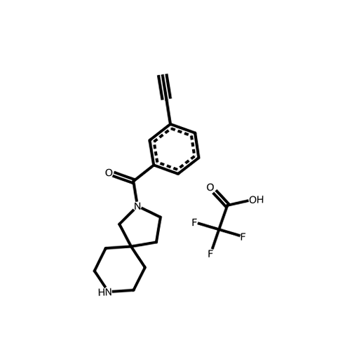 C#Cc1cccc(C(=O)N2CCC3(CCNCC3)C2)c1.O=C(O)C(F)(F)F